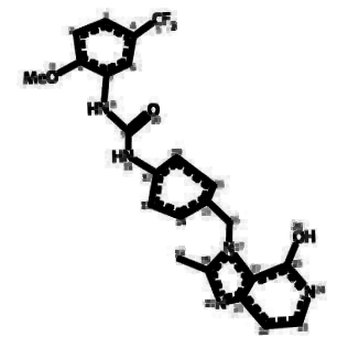 COc1ccc(C(F)(F)F)cc1NC(=O)Nc1ccc(Cn2c(C)nc3ccnc(O)c32)cc1